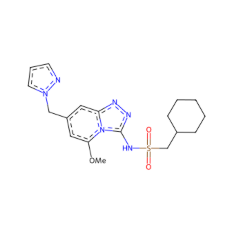 COc1cc(Cn2cccn2)cc2nnc(NS(=O)(=O)CC3CCCCC3)n12